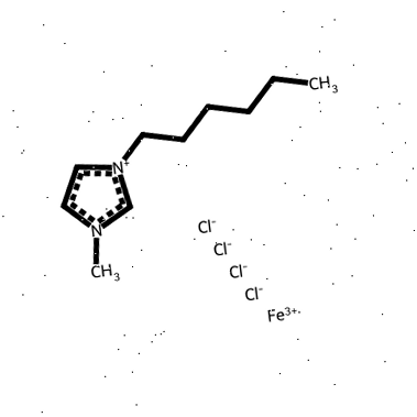 CCCCCC[n+]1ccn(C)c1.[Cl-].[Cl-].[Cl-].[Cl-].[Fe+3]